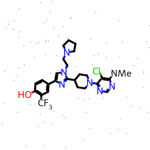 CNc1ncnc(N2CCC(c3nc(-c4ccc(O)c(C(F)(F)F)c4)cn3CCN3CCCC3)CC2)c1Cl